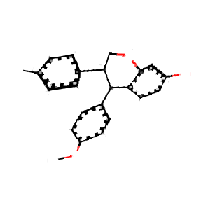 COc1ccc(C2c3ccc(O)cc3OCC2c2ccc(C)cc2)cc1